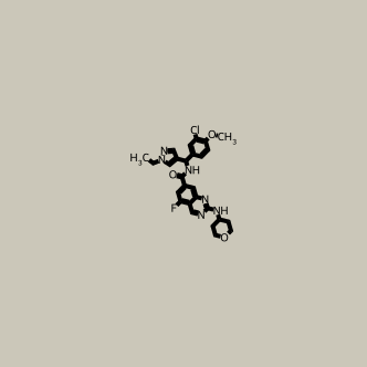 CCn1cc(C(NC(=O)c2cc(F)c3cnc(NC4CCOCC4)nc3c2)c2ccc(OC)c(Cl)c2)cn1